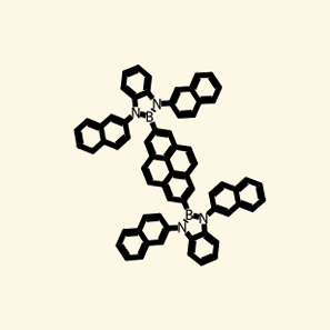 C1=CCC2C=CC(N3B(c4cc5ccc6cc(B7N(c8ccc9ccccc9c8)c8ccccc8N7c7ccc8ccccc8c7)cc7ccc(c4)c5c67)N(c4ccc5ccccc5c4)c4ccccc43)=CC2=C1